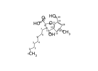 CCCCCCCCCC(Oc1c(CO)cc(C)cc1CO)C(=O)O